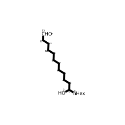 CCCCCCC(O)CCCCCCCCCC[C]=O